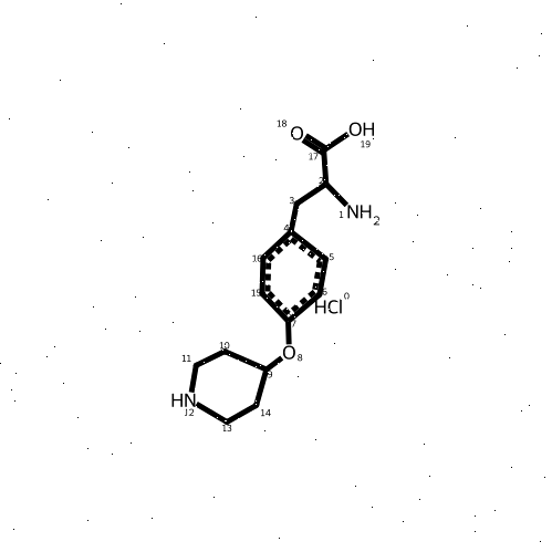 Cl.NC(Cc1ccc(OC2CCNCC2)cc1)C(=O)O